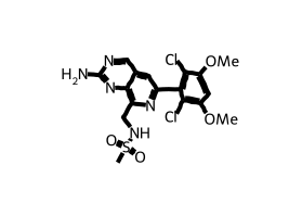 COc1cc(OC)c(Cl)c(-c2cc3cnc(N)nc3c(CNS(C)(=O)=O)n2)c1Cl